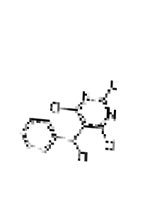 Clc1nc(Cl)c(C(Cl)c2ccccc2)c(Cl)n1